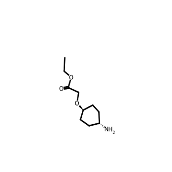 CCOC(=O)CO[C@H]1CC[C@H](N)CC1